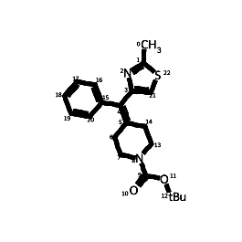 Cc1nc(C(=C2CCN(C(=O)OC(C)(C)C)CC2)c2ccccc2)cs1